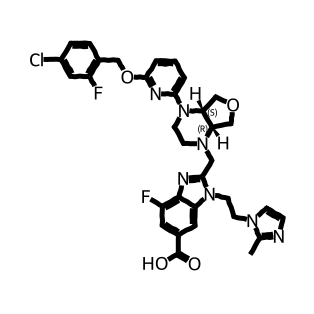 Cc1nccn1CCn1c(CN2CCN(c3cccc(OCc4ccc(Cl)cc4F)n3)[C@@H]3COC[C@@H]32)nc2c(F)cc(C(=O)O)cc21